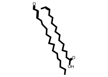 C/C=C\CCCCCCCCCCCC(=O)O.CCCCCCCCCCCCCC/C=C/C=O